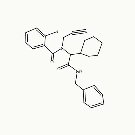 C#CCN(C(=O)c1ccccc1I)C(C(=O)NCc1ccccc1)C1CCCCC1